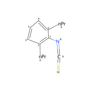 CCCc1cccc(CCC)c1N=C=S